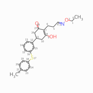 CCON=CCCC1=C(O)CC(c2cccc(Sc3ccc(C)cc3)c2)CC1=O